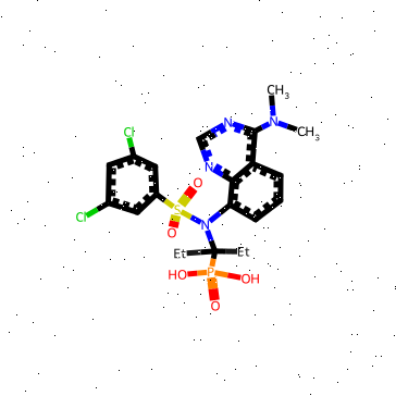 CCC(CC)(N(c1cccc2c(N(C)C)ncnc12)S(=O)(=O)c1cc(Cl)cc(Cl)c1)P(=O)(O)O